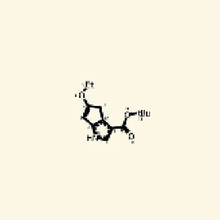 CCOC1=Cc2[nH]cc(C(=O)OC(C)(C)C)c2C1